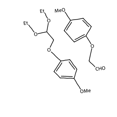 CCOC(COc1ccc(OC)cc1)OCC.COc1ccc(OCC=O)cc1